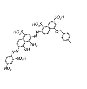 Cc1ccc(COc2cc(S(=O)(=O)O)cc3c(S(=O)(=O)O)c(N=Nc4cc(S(=O)(=O)O)c5ccc(N=Nc6ccc([N+](=O)[O-])cc6S(=O)(=O)O)c(O)c5c4N)ccc23)cc1